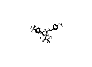 Cc1ccc(COC(=O)O[C@H](c2ccc(S(C)(=O)=O)cc2)[C@@H](CF)NC(=O)C(Cl)Cl)cc1